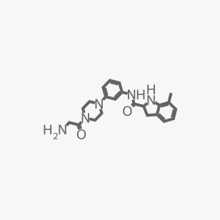 Cc1cccc2c1NC(C(=O)Nc1cccc(N3CCN(C(=O)CN)CC3)c1)C2